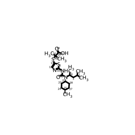 CC(C)CC(C)N(C(=O)Nc1ncc(SC(C)(C)C(=O)O)s1)[C@H]1CC[C@H](C)CC1